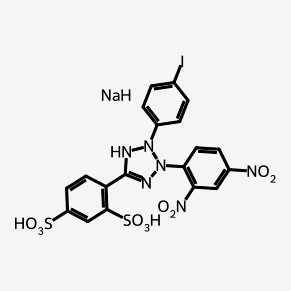 O=[N+]([O-])c1ccc(N2N=C(c3ccc(S(=O)(=O)O)cc3S(=O)(=O)O)NN2c2ccc(I)cc2)c([N+](=O)[O-])c1.[NaH]